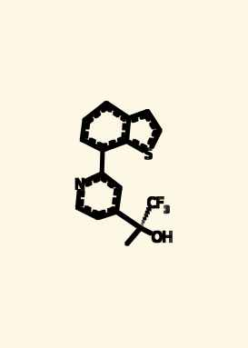 C[C@](O)(c1ccnc(-c2cccc3ccsc23)c1)C(F)(F)F